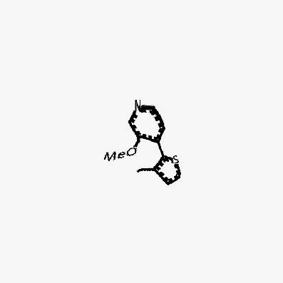 COc1cnccc1-c1sccc1C